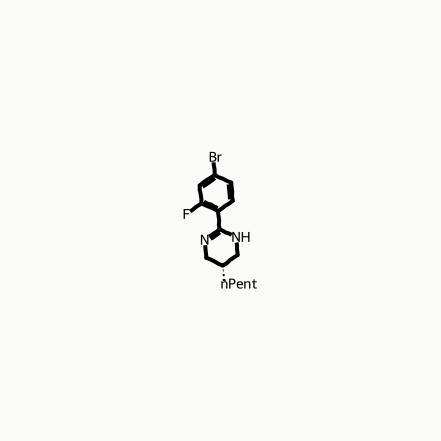 CCCCC[C@@H]1CN=C(c2ccc(Br)cc2F)NC1